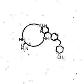 CN1CCN(Cc2ccc(-c3cnc4nc3NCCCC[C@H](N)C(=O)NCCCCCCN4)nc2)CC1